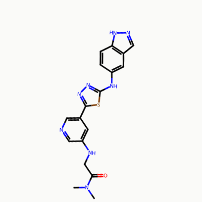 CN(C)C(=O)CNc1cncc(-c2nnc(Nc3ccc4[nH]ncc4c3)s2)c1